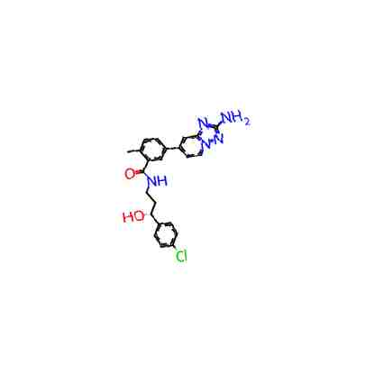 Cc1ccc(-c2ccn3nc(N)nc3c2)cc1C(=O)NCC[C@@H](O)c1ccc(Cl)cc1